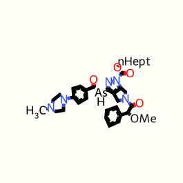 CCCCCCCOC(=O)n1nc([AsH]C(=O)c2ccc(N3CCN(C)CC3)cc2)c2c1CN(C(=O)C(OC)c1ccccc1)C2